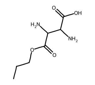 CCCOC(=O)C(N)C(N)C(=O)O